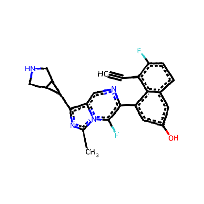 C#Cc1c(F)ccc2cc(O)cc(-c3ncc4c(C5C6CNCC65)nc(C)n4c3F)c12